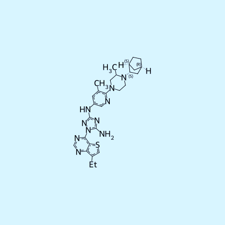 CCc1csc2c(-n3nc(Nc4cnc(N5CCN([C@H]6C[C@@H]7CC[C@H]6C7)C(C)C5)c(C)c4)nc3N)ncnc12